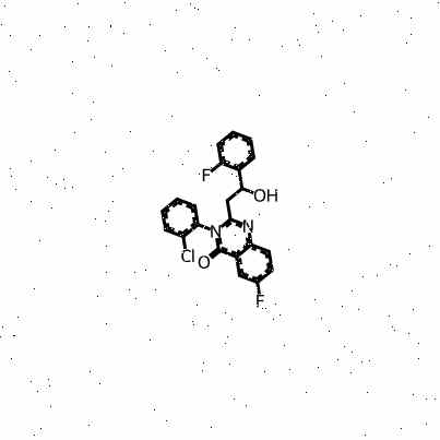 O=c1c2cc(F)ccc2nc(CC(O)c2ccccc2F)n1-c1ccccc1Cl